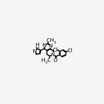 Cc1nc2c(c(-c3ccn[nH]3)n1)CC(C)N(C(=O)c1ccc(Cl)cc1Cl)C2